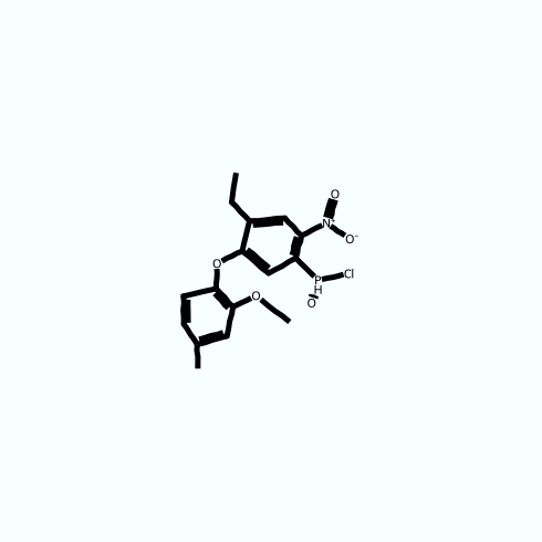 CCc1cc([N+](=O)[O-])c([PH](=O)Cl)cc1Oc1ccc(C)cc1OC